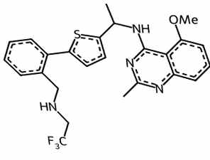 COc1cccc2nc(C)nc(NC(C)c3ccc(-c4ccccc4CNCC(F)(F)F)s3)c12